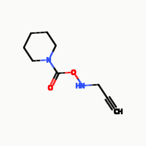 C#CCNOC(=O)N1CCCCC1